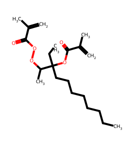 C=C(C)C(=O)OOC(C)C(CC)(CCCCCCCC)OC(=O)C(=C)C